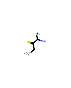 CCCCC(N)C(=S)CC(=O)O